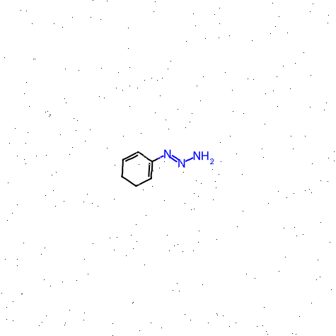 NN=NC1=CCCC=C1